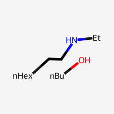 CCCCCCCCNCC.CCCCO